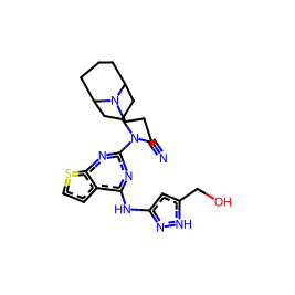 CN(c1nc(Nc2cc(CO)[nH]n2)c2ccsc2n1)C1CC2CCCC(C1)N2CCC#N